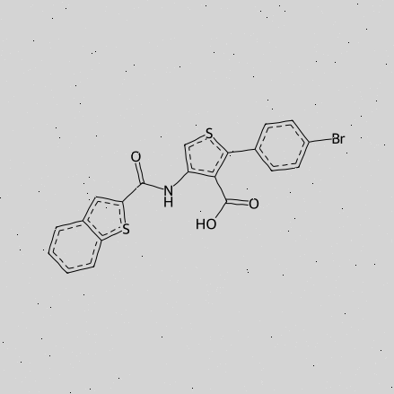 O=C(Nc1csc(-c2ccc(Br)cc2)c1C(=O)O)c1cc2ccccc2s1